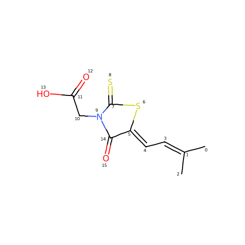 CC(C)=CC=C1SC(=S)N(CC(=O)O)C1=O